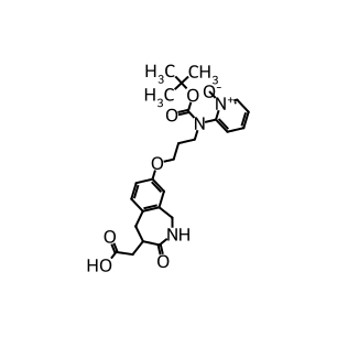 CC(C)(C)OC(=O)N(CCCOc1ccc2c(c1)CNC(=O)C(CC(=O)O)C2)c1cccc[n+]1[O-]